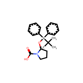 CC(C)(C)[Si](OC1CCCN1C(=O)O)(c1ccccc1)c1ccccc1